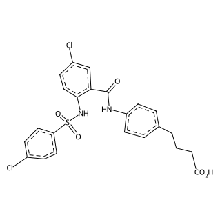 O=C(O)CCCc1ccc(NC(=O)c2cc(Cl)ccc2NS(=O)(=O)c2ccc(Cl)cc2)cc1